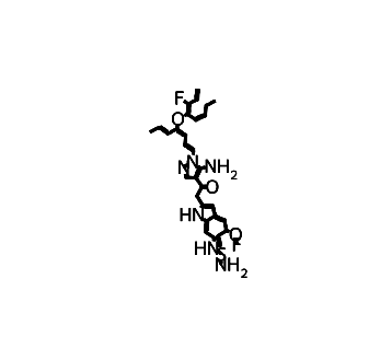 C=C/C(F)=C(\C=C/CC)OC(/C=C/C)=C/C=C/n1ncc(C(=O)Cc2cc(=C/C(C=C)OF)/c(=C\CNSN)[nH]2)c1N